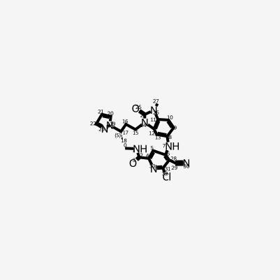 CNC(=O)c1cc(Nc2ccc3c(c2)n(CC[C@H](C)n2cccn2)c(=O)n3C)c(C#N)c(Cl)n1